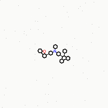 c1ccc(-c2c(-c3ccc(N(c4ccccc4)c4ccc(-c5cccc6c5oc5ccccc56)cc4)cc3)c3ccccc3c3ccccc23)cc1